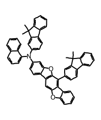 CC1(C)c2ccccc2-c2ccc(-c3c4oc5cc(N(c6ccc7c(c6)C(C)(C)c6ccccc6-7)c6cccc7ccccc67)ccc5c4cc4oc5ccccc5c34)cc21